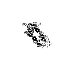 Nc1nc(=O)c2c([nH]1)NC[C@@H](CNc1ccc(C(=O)N[C@@H](CCC(=O)O)C(=O)O)cc1)N2.Nc1nc2c(c(=O)[nH]1)[N+]1=CN(c3ccc(C(=O)N[C@@H](CCC(=O)O)C(=O)O)cc3)C[C@H]1CN2